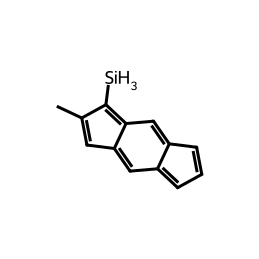 CC1=Cc2cc3c(cc2=C1[SiH3])C=CC=3